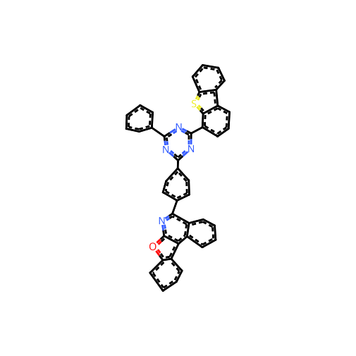 c1ccc(-c2nc(-c3ccc(-c4nc5oc6ccccc6c5c5ccccc45)cc3)nc(-c3cccc4c3sc3ccccc34)n2)cc1